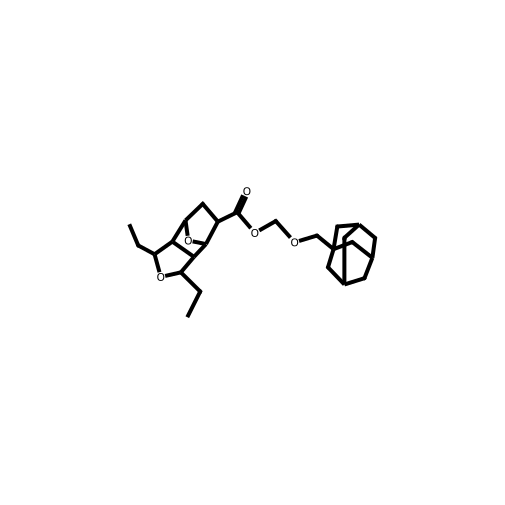 CCC1OC(CC)C2C3OC(CC3C(=O)OCOCC34CC5CC(CC(C5)C3)C4)C12